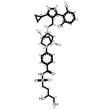 O=C(NS(=O)(=O)CCC(O)CO)c1ccc(N2C[C@@H]3C[C@H]2C[C@H]3OCc2c(-c3c(Cl)cccc3Cl)noc2C2CC2)cc1